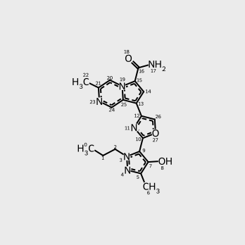 CCCn1nc(C)c(O)c1-c1nc(-c2cc(C(N)=O)n3cc(C)ncc23)co1